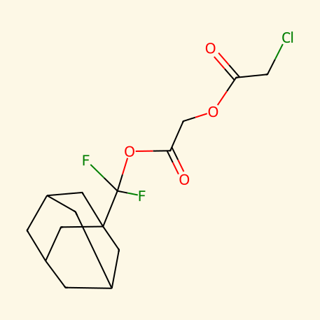 O=C(CCl)OCC(=O)OC(F)(F)C12CC3CC(CC(C3)C1)C2